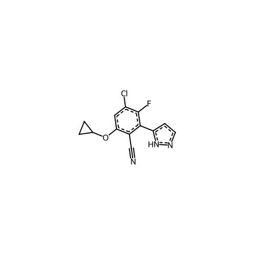 N#Cc1c(OC2CC2)cc(Cl)c(F)c1-c1ccn[nH]1